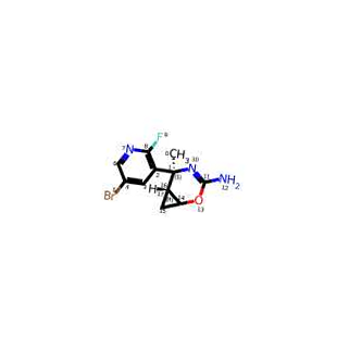 C[C@]1(c2cc(Br)cnc2F)N=C(N)OC2C[C@@H]21